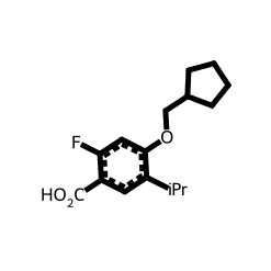 CC(C)c1cc(C(=O)O)c(F)cc1OCC1CCCC1